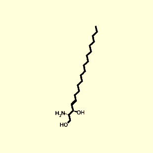 CCCCCCCCCCCCCCCC=C[C@@H](O)[C@@H](N)CO